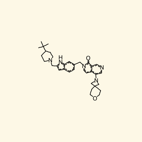 CC(C)(C)C1CCN(Cc2cc3ccc(Cn4ccc5c(N6CC7(CCOCC7)C6)cncc5c4=O)cc3[nH]2)CC1